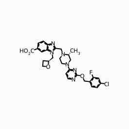 C[C@@H]1CN(c2ccnc(OCc3ccc(Cl)cc3F)n2)CCN1Cc1nc2ccc(C(=O)O)cc2n1C[C@@H]1CCO1